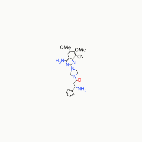 COc1cc2c(N)nc(N3CCN(C(=O)C[C@@H](N)c4ccccc4)CC3)nc2c(C#N)c1OC